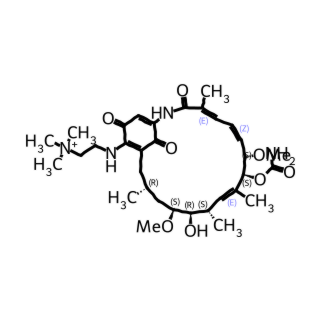 CO[C@H]1/C=C\C=C(/C)C(=O)NC2=CC(=O)C(NCC[N+](C)(C)C)=C(C[C@@H](C)C[C@H](OC)[C@H](O)[C@@H](C)/C=C(\C)[C@@H]1OC(N)=O)C2=O